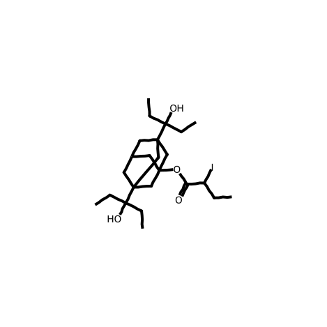 CCC(I)C(=O)OC12CC3CC(C(O)(CC)CC)(C1)CC(C(O)(CC)CC)(C3)C2